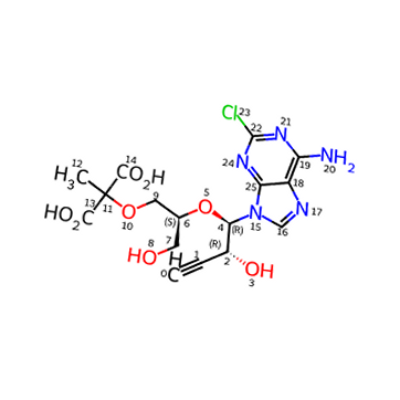 C#C[C@@H](O)[C@@H](O[C@@H](CO)COC(C)(C(=O)O)C(=O)O)n1cnc2c(N)nc(Cl)nc21